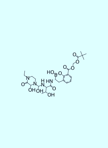 CCN1CCN(C(O)NC(C(=O)N[C@H]2Cc3cccc(C(=O)OCOC(=O)C(C)(C)C)c3OB2O)C(C)O)C(O)C1=O